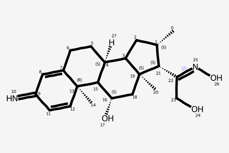 C[C@H]1CC2[C@@H]3CCC4=CC(=N)C=C[C@]4(C)C3[C@@H](O)C[C@]2(C)[C@H]1/C(CO)=N/O